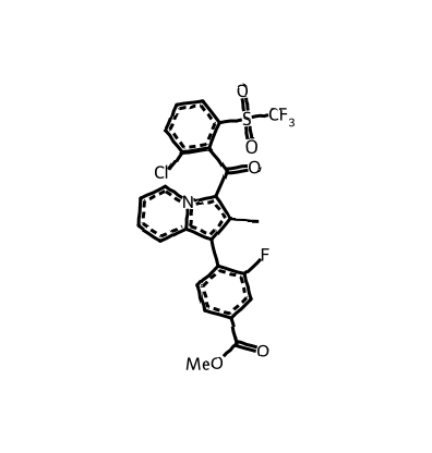 COC(=O)c1ccc(-c2c(C)c(C(=O)c3c(Cl)cccc3S(=O)(=O)C(F)(F)F)n3ccccc23)c(F)c1